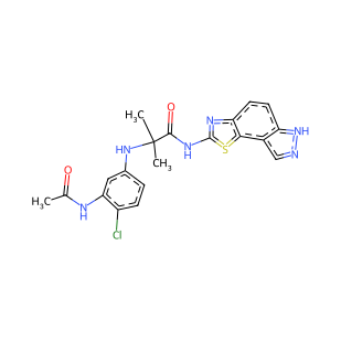 CC(=O)Nc1cc(NC(C)(C)C(=O)Nc2nc3ccc4[nH]ncc4c3s2)ccc1Cl